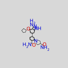 NC(=O)c1ccc(-c2cc(OC3CCCC3)c3c(N)n[nH]c3c2)cc1N1CCC(C(N)=O)CC1